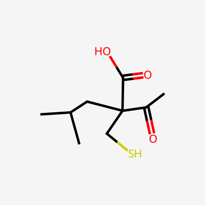 CC(=O)C(CS)(CC(C)C)C(=O)O